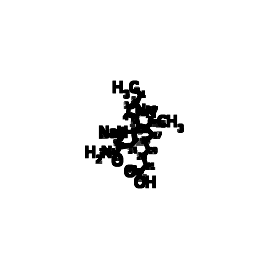 CCc1ccc2c(-c3ccc(C(N)=O)cc3)c(CCCCCC(=O)O)c(C)nn12.[NaH]